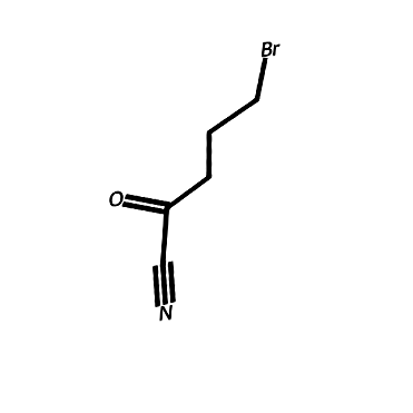 N#CC(=O)CCCBr